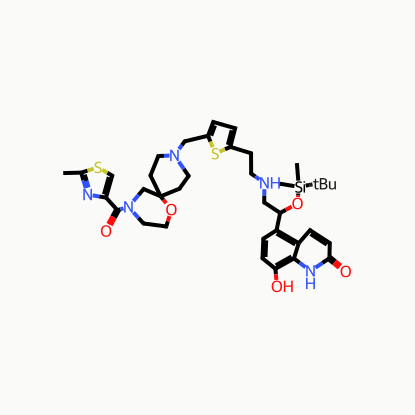 Cc1nc(C(=O)N2CCOC3(CCN(Cc4ccc(CCNCC(O[Si](C)(C)C(C)(C)C)c5ccc(O)c6[nH]c(=O)ccc56)s4)CC3)C2)cs1